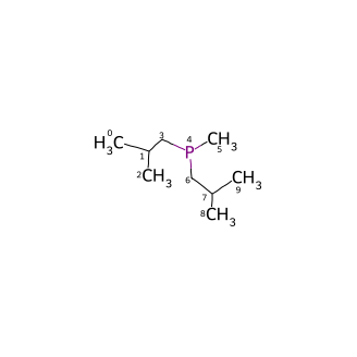 CC(C)CP(C)CC(C)C